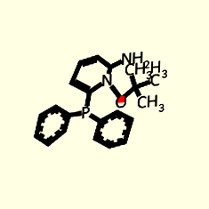 CC(C)(C)C(=O)N1C(P(c2ccccc2)c2ccccc2)=CC=CC1N